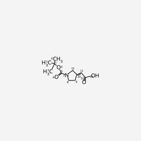 CC(C)(C)OC(=O)N1CCC(=CC(=O)O)C1